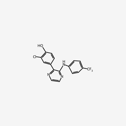 Oc1ccc(-c2nccnc2Nc2ccc(C(F)(F)F)cc2)cc1Cl